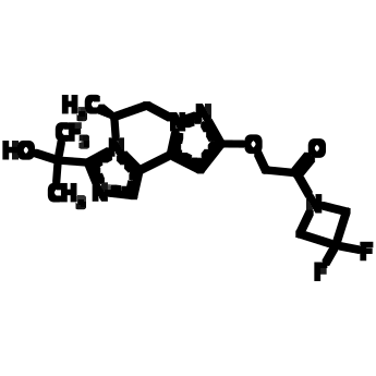 C[C@H]1Cn2nc(OCC(=O)N3CC(F)(F)C3)cc2-c2cnc(C(C)(O)C(F)(F)F)n21